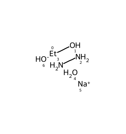 CCO.NN.O.[Na+].[OH-]